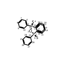 S=P(OP(=S)(c1ccccc1)c1ccccc1)(c1ccccc1)c1ccccc1